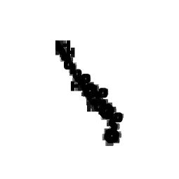 N=NNCCOCCOCC(=O)Nc1ccc2c(=O)n(CC3(O)CCN(C(=O)CCc4ccccc4)CC3)cnc2c1